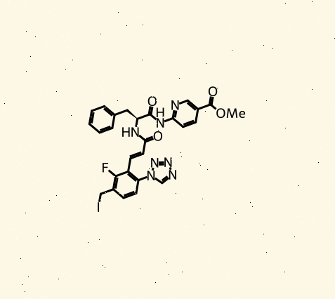 COC(=O)c1ccc(NC(=O)[C@H](Cc2ccccc2)NC(=O)/C=C/c2c(-n3cnnn3)ccc(CI)c2F)nc1